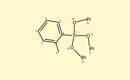 Cc1cccc[c]1[Ti]([O]C(C)C)([O]C(C)C)[O]C(C)C